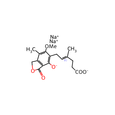 COc1c(C)c2c(c([O-])c1C/C=C(\C)CCC(=O)[O-])C(=O)OC2.[Na+].[Na+]